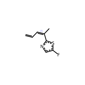 C=C/C=C(/C)c1ncc(F)s1